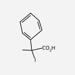 CC(I)(C(=O)O)c1ccccc1